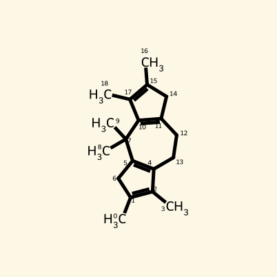 CC1=C(C)C2=C(C1)C(C)(C)C1=C(CC2)CC(C)=C1C